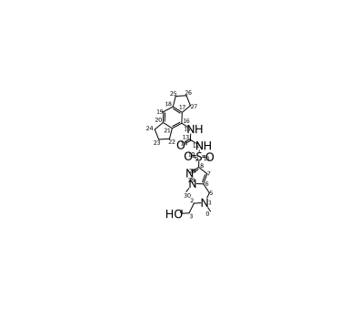 CN(CCO)Cc1cc(S(=O)(=O)NC(=O)Nc2c3c(cc4c2CCC4)CCC3)nn1C